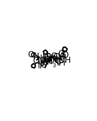 CC(C)CC(NC(=O)[C@H](Cc1ccccc1)NC(=O)[C@H](CC(C)C)NC(=O)[C@H](CCc1ccccc1)NC(=O)CN1CCOCC1)C(=O)[C@](C)(O)COS(=O)(=O)c1ccccc1